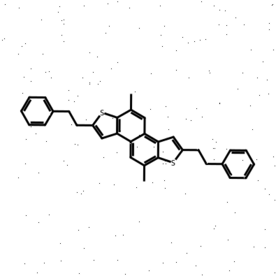 Cc1cc2c3cc(CCc4ccccc4)sc3c(C)cc2c2cc(CCc3ccccc3)sc12